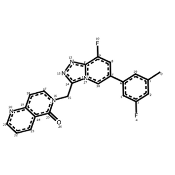 Cc1cc(F)cc(-c2cc(F)c3nnc(Cn4ccc5ncccc5c4=O)n3c2)c1